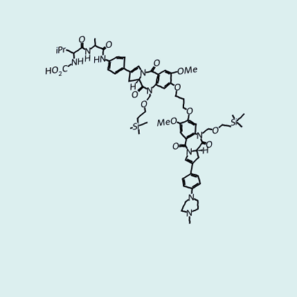 COc1cc2c(cc1OCCCOc1cc3c(cc1OC)C(=O)N1C=C(c4ccc(N5CCN(C)CC5)cc4)C[C@H]1C(=O)N3COCC[Si](C)(C)C)N(COCC[Si](C)(C)C)C(=O)[C@@H]1CC(c3ccc(NC(=O)C(C)NC(=O)C(NC(=O)O)C(C)C)cc3)=CN1C2=O